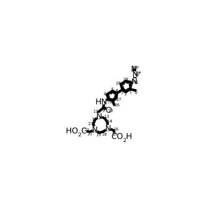 Cc1cc(-c2ccc(NC(=O)CN3CCN(CC(=O)O)CCN(CC(=O)O)CC3)c(C)c2)ccc1N=[N+]=[N-]